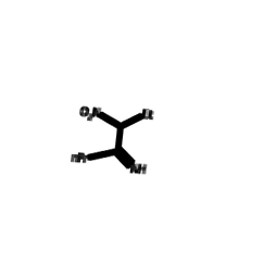 [CH2]CC(C(=N)CCC)[N+](=O)[O-]